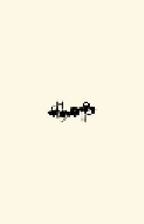 CCC(=O)ONC(=O)CCc1ccc(CNC(=O)OC(C)(C)C)cc1